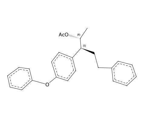 CC(=O)O[C@H](C)[C@@H](CCc1ccccc1)c1ccc(Oc2ccccc2)cc1